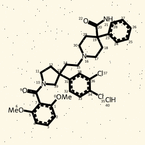 COc1cccc(OC)c1C(=O)N1CCC(CCN2CCC(C(N)=O)(c3ccccc3)CC2)(c2ccc(Cl)c(Cl)c2)C1.Cl